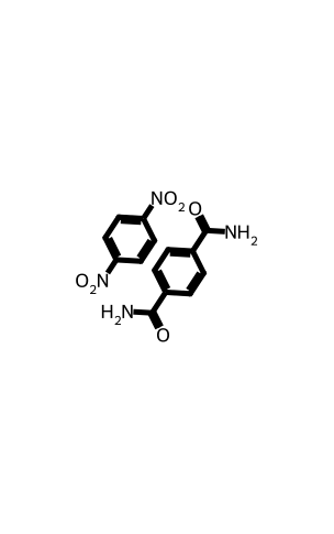 NC(=O)c1ccc(C(N)=O)cc1.O=[N+]([O-])c1ccc([N+](=O)[O-])cc1